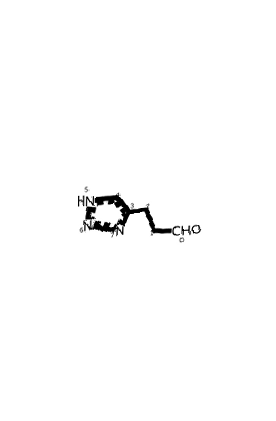 O=CCCc1c[nH]nn1